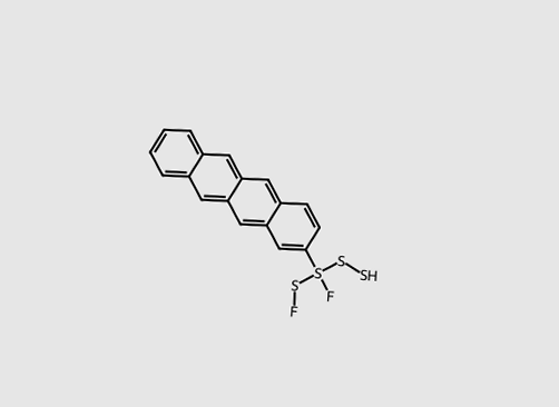 FSS(F)(SS)c1ccc2cc3cc4ccccc4cc3cc2c1